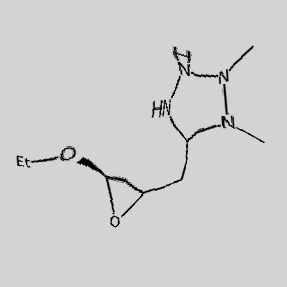 CCO[C@@H]1OC1CC1NNN(C)N1C